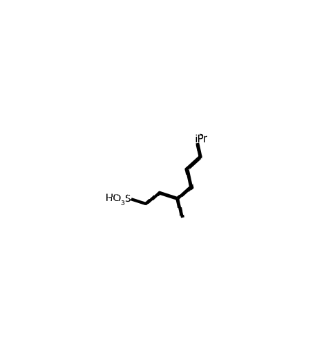 CC(C)CCCC(C)CCS(=O)(=O)O